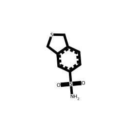 NS(=O)(=O)c1ccc2c(c1)CSC2